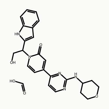 O=CO.O=c1cc(-c2ccnc(NC3CCOCC3)n2)ccn1C(CO)c1cc2ccccc2[nH]1